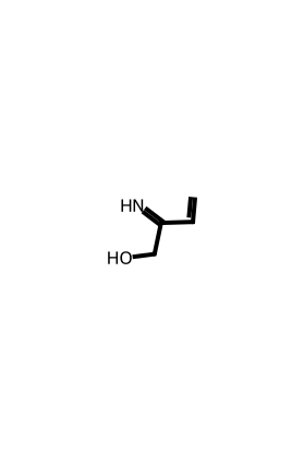 C=CC(=N)CO